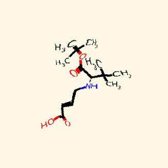 CC(C)(C)OC(=O)[C@@H](NC/C=C/C(=O)O)C(C)(C)C